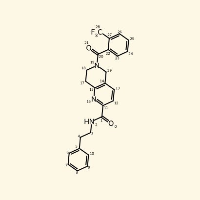 O=C(NCCc1ccccc1)c1ccc2c(n1)CCN(C(=O)c1ccccc1C(F)(F)F)C2